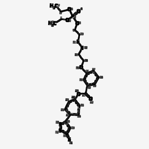 CCOP(=O)(OCC)OCCSSCCOc1cccc(C(=O)Oc2ccc(-c3cc(=S)ss3)cc2)c1